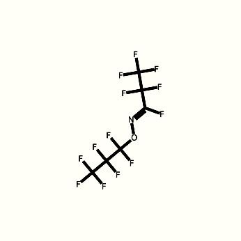 FC(=NOC(F)(F)C(F)(F)C(F)(F)F)C(F)(F)C(F)(F)F